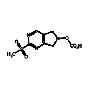 CS(=O)(=O)c1ncc2c(n1)CN(OC(=O)O)C2